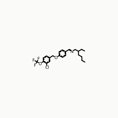 CCCCC(CC)C/N=C/c1ccc(OCc2ccc(OC(F)(F)F)c(Cl)c2)cc1